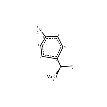 CO[C@H](C)c1ccc(N)cc1